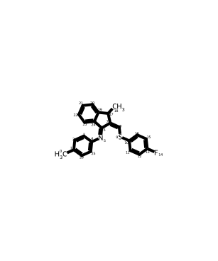 Cc1ccc(N=C2C(=CSc3ccc(F)cc3)C(C)c3ccccc32)cc1